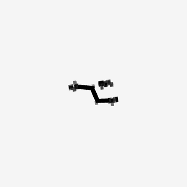 CCC[SeH].[MgH2]